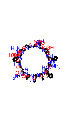 CCCC[C@H]1C(=O)N(C)[C@@H](CCCC)C(=O)N[C@@H](CC(C)C)C(=O)N[C@H](C(=O)NCC(N)=O)CSCC(=O)N[C@@H](Cc2ccc(O)cc2)C(=O)N(CC(=O)O)CC(=O)N[C@@H](CC(N)=O)C(=O)N2CCC[C@H]2C(=O)N[C@@H](Cc2c[nH]cn2)C(=O)N[C@@H](CCC(=O)O)C(=O)N2C[C@H](O)C[C@H]2C(=O)N[C@@H](Cc2c[nH]c3ccccc23)C(=O)N[C@@H](CCN)C(=O)N[C@@H](Cc2csc3ccccc23)C(=O)N1C